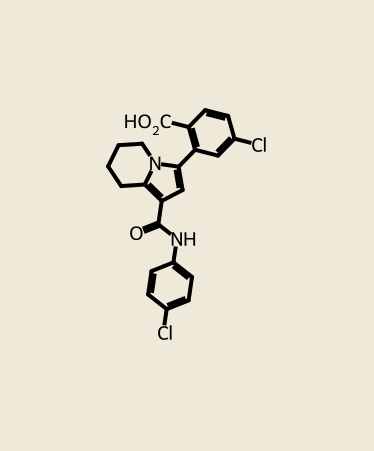 O=C(O)c1ccc(Cl)cc1-c1cc(C(=O)Nc2ccc(Cl)cc2)c2n1CCCC2